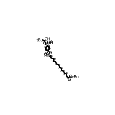 CC(OB(O)c1ccc(S(=O)(=O)NCCCCCCCCCCCCCCC(=O)OC(C)(C)C)cc1)C(C)(C)C